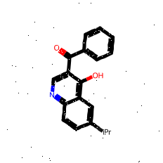 CC(C)c1ccc2ncc(C(=O)c3ccccc3)c(O)c2c1